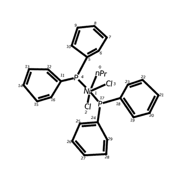 CC[CH2][Ni]([Cl])([Cl])([P](c1ccccc1)c1ccccc1)[P](c1ccccc1)c1ccccc1